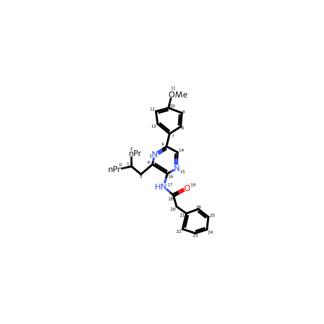 CCCC(CCC)Cc1nc(-c2ccc(OC)cc2)cnc1NC(=O)Cc1ccccc1